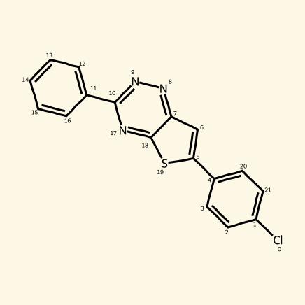 Clc1ccc(-c2cc3nnc(-c4ccccc4)nc3s2)cc1